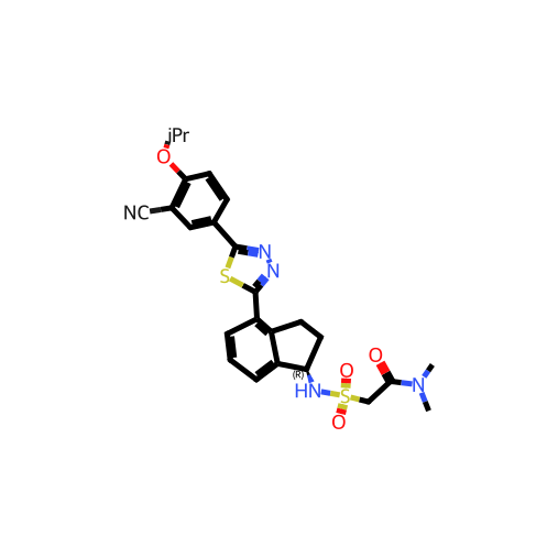 CC(C)Oc1ccc(-c2nnc(-c3cccc4c3CC[C@H]4NS(=O)(=O)CC(=O)N(C)C)s2)cc1C#N